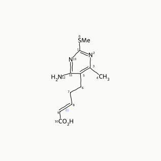 CSc1nc(C)c(CC/C=C/C(=O)O)c(N)n1